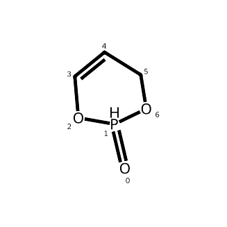 O=[PH]1OC=CCO1